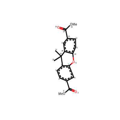 COC(=O)c1ccc2c(c1)Oc1ccc(C(=O)OC)cc1C2(C)C